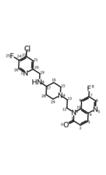 O=c1ccc2ncc(F)cc2n1CCN1CCC(NCc2cc(Cl)c(F)cn2)CC1